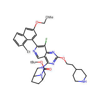 CCc1cccc2cc(OCOC)cc(-c3ncc4c(N5CC6CCC(C5)N6C(=O)OC(C)(C)C)nc(OCCC5CCNCC5)nc4c3F)c12